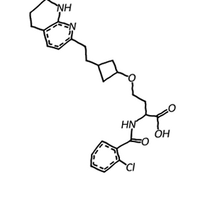 O=C(NC(CCOC1CC(CCc2ccc3c(n2)NCCC3)C1)C(=O)O)c1ccccc1Cl